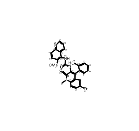 CCc1ccc2c(c1)c(-c1ccccc1Cl)c(NC(=O)Nc1c(OC)ccc3ncccc13)c(=O)n2C